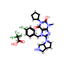 Cn1c(=O)n(C2CCCC2)c(=O)c2c1nc(N1CCC3CNCC31)n2Cc1ccc(F)cc1.O=C(O)C(F)(F)F